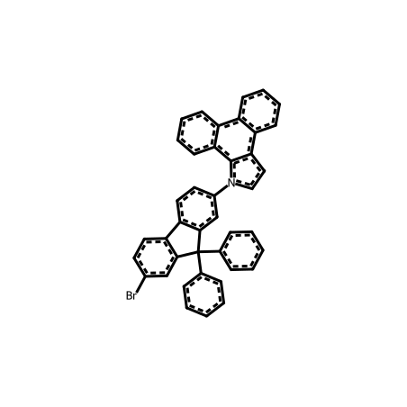 Brc1ccc2c(c1)C(c1ccccc1)(c1ccccc1)c1cc(-n3ccc4c5ccccc5c5ccccc5c43)ccc1-2